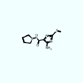 CSc1nc(C(=O)NN2CCCC2)c(N)s1